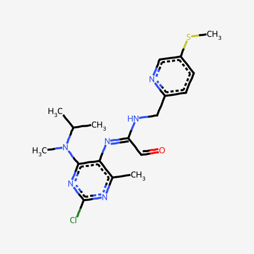 CSc1ccc(CN/C(C=O)=N/c2c(C)nc(Cl)nc2N(C)C(C)C)nc1